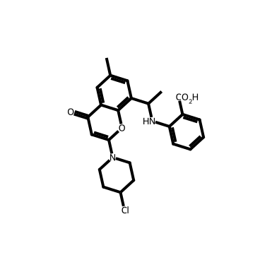 Cc1cc(C(C)Nc2ccccc2C(=O)O)c2oc(N3CCC(Cl)CC3)cc(=O)c2c1